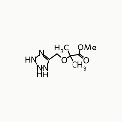 COC(=O)C(C)(C)OCC1=NNNN1